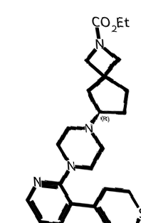 CCOC(=O)N1CC2(CC[C@@H](N3CCN(c4ncccc4C4=CCSCC4)CC3)C2)C1